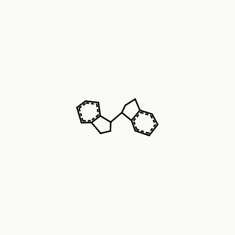 c1ccc2c(c1)CCC2C1CCc2ccccc21